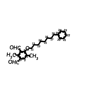 Cc1cc(C=O)c(C)c(C=O)c1OCCCCCCCCc1ccccc1